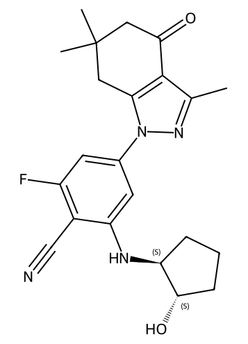 Cc1nn(-c2cc(F)c(C#N)c(N[C@H]3CCC[C@@H]3O)c2)c2c1C(=O)CC(C)(C)C2